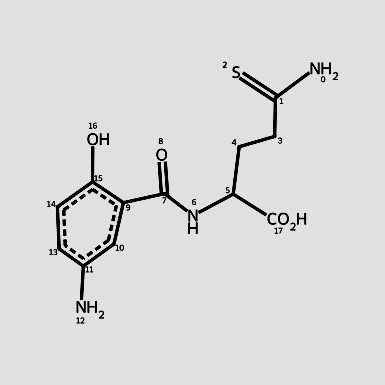 NC(=S)CCC(NC(=O)c1cc(N)ccc1O)C(=O)O